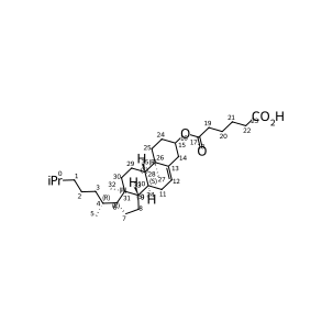 CC(C)CCC[C@@H](C)[C@H]1CC[C@H]2[C@@H]3CC=C4CC(OC(=O)CCCCC(=O)O)CC[C@]4(C)[C@H]3CC[C@]12C